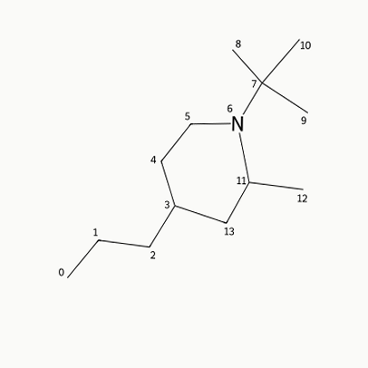 CCCC1CCN(C(C)(C)C)C(C)C1